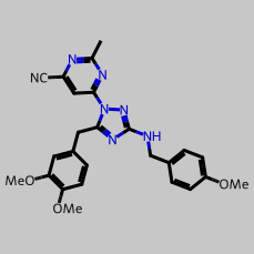 COc1ccc(CNc2nc(Cc3ccc(OC)c(OC)c3)n(-c3cc(C#N)nc(C)n3)n2)cc1